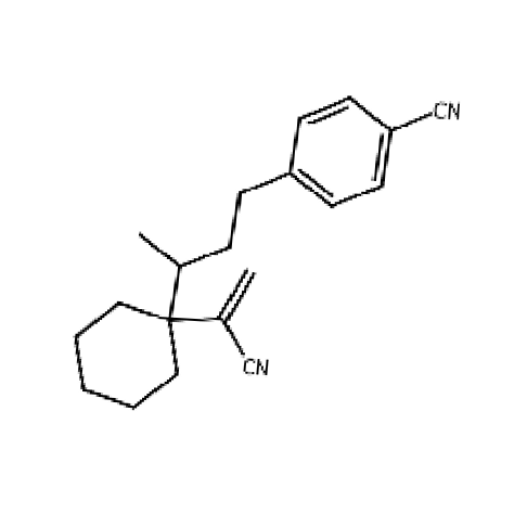 C=C(C#N)C1(C(C)CCc2ccc(C#N)cc2)CCCCC1